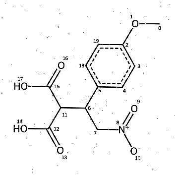 COc1ccc(C(C[N+](=O)[O-])C(C(=O)O)C(=O)O)cc1